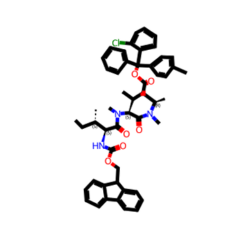 CC[C@H](C)[C@H](NC(=O)OCC1c2ccccc2-c2ccccc21)C(=O)N(C)[C@H](C(=O)N(C)[C@H](C)CC(=O)OC(c1ccccc1)(c1ccc(C)cc1)c1ccccc1Cl)C(C)C